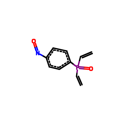 C=CP(=O)(C=C)c1ccc(N=O)cc1